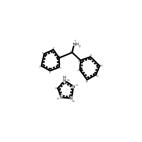 NC(c1ccccc1)c1ccccc1.c1nnn[nH]1